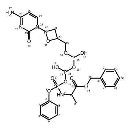 CC(NP(=O)(Oc1ccccc1)OP(O)OP(O)OCC1CN(n2ccc(N)nc2=O)O1)C(=O)OCc1ccccc1